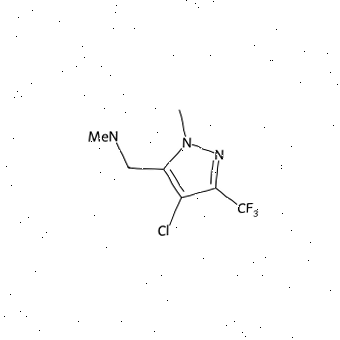 CNCc1c(Cl)c(C(F)(F)F)nn1C